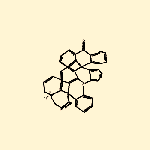 O=C1c2ccccc2C2(c3ccccc31)c1ccccc1N1c3ccccc3C3(C4=CC=CC[C@@H]4Cc4ccccc43)c3cccc2c31